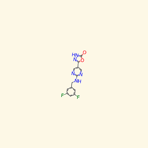 O=c1[nH]nc(-c2cnc(NCc3cc(F)cc(F)c3)nc2)o1